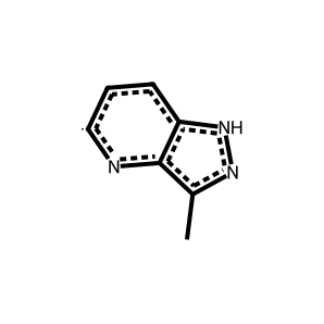 Cc1n[nH]c2cc[c]nc12